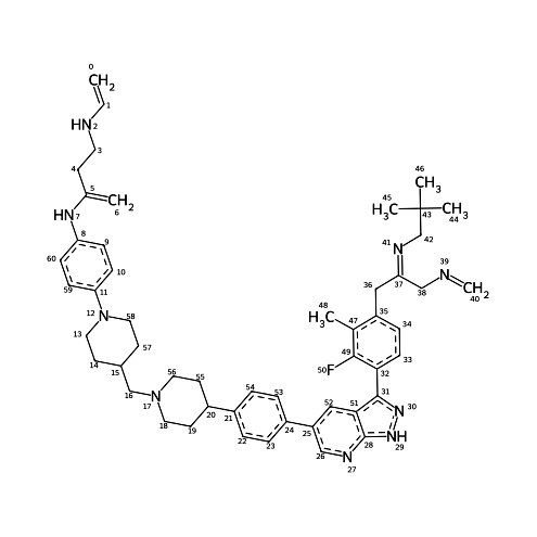 C=CNCCC(=C)Nc1ccc(N2CCC(CN3CCC(c4ccc(-c5cnc6[nH]nc(-c7ccc(C/C(CN=C)=N/CC(C)(C)C)c(C)c7F)c6c5)cc4)CC3)CC2)cc1